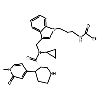 CCC(=O)NCCCn1cc(CN(C(=O)[C@@H]2CNCC[C@H]2c2ccn(C)c(=O)c2)C2CC2)c2ccccc21